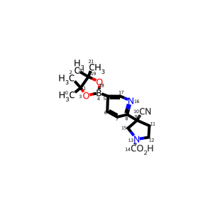 CC1(C)OB(c2ccc(C3(C#N)CCN(C(=O)O)C3)nc2)OC1(C)C